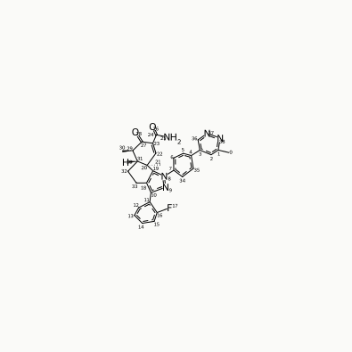 Cc1cc(-c2ccc(-n3nc(-c4ccccc4F)c4c3[C@]3(C)C=C(C(N)=O)C(=O)[C@H](C)[C@H]3CC4)cc2)cnn1